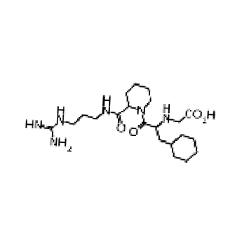 N=C(N)NCCCNC(=O)C1CCCCN1C(=O)C(CC1CCCCC1)NCC(=O)O